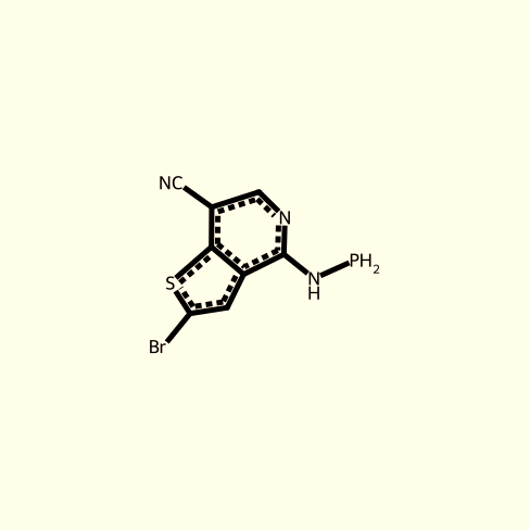 N#Cc1cnc(NP)c2cc(Br)sc12